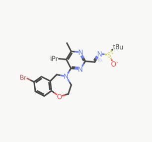 Cc1nc(/C=N/[S+]([O-])C(C)(C)C)nc(N2CCOc3ccc(Br)cc3C2)c1C(C)C